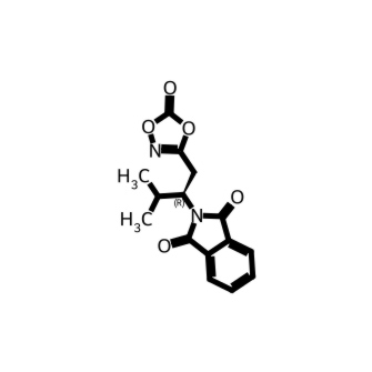 CC(C)[C@@H](Cc1noc(=O)o1)N1C(=O)c2ccccc2C1=O